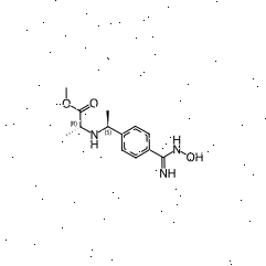 COC(=O)[C@@H](C)N[C@@H](C)c1ccc(C(=N)NO)cc1